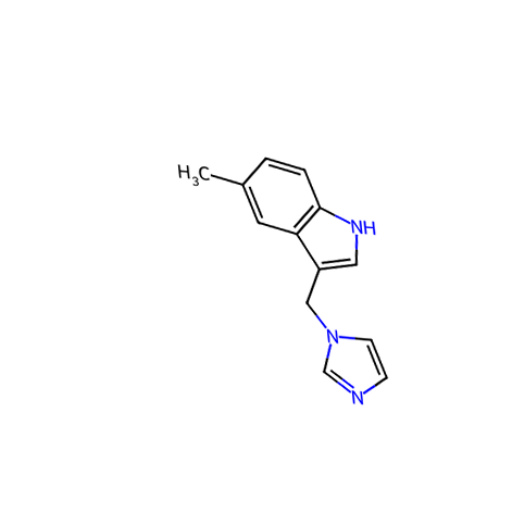 Cc1ccc2[nH]cc(Cn3ccnc3)c2c1